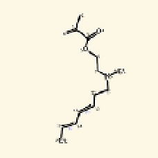 C=C(C)C(=O)OCCN(CC)CC/C=C/C=C/CC